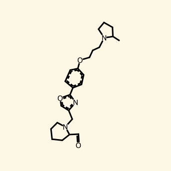 CC1CCCN1CCCOc1ccc(-c2nc(CN3CCCCC3C=O)co2)cc1